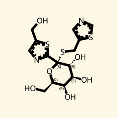 OCc1cnc([C@]2(SCc3cncs3)O[C@H](CO)[C@H](O)[C@H](O)[C@H]2O)s1